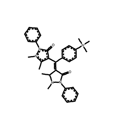 Cc1c(C(=C2C(=O)N(c3ccccc3)N(C)C2C)c2ccc([N+](C)(C)C)cc2)c(=O)n(-c2ccccc2)n1C